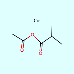 CC(=O)OC(=O)C(C)C.[Co]